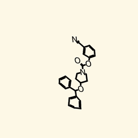 N#Cc1cccc(OC(=O)N2CCC(OC(c3ccccc3)c3ccccc3)CC2)c1